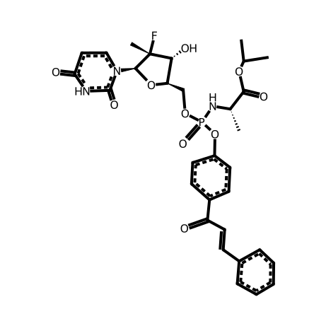 CC(C)OC(=O)[C@H](C)NP(=O)(OC[C@H]1O[C@@H](n2ccc(=O)[nH]c2=O)[C@](C)(F)[C@@H]1O)Oc1ccc(C(=O)/C=C/c2ccccc2)cc1